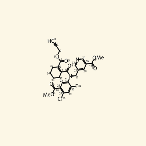 C#CCOC(=O)C1=C(C(=O)N(Cc2cncc(C(=O)OC)c2)c2cc(C(=O)OC)c(Cl)cc2F)CCCC1